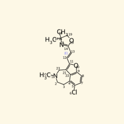 CN1CCc2c(Cl)ccc3oc(/C=C/C4=NC(C)(C)CO4)c(c23)C1